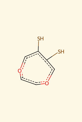 Sc1coccocc1S